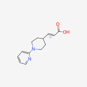 O=C(O)/C=C/C1CCN(c2ccccn2)CC1